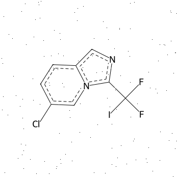 FC(F)(I)c1ncc2ccc(Cl)cn12